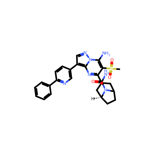 CS(=O)(=O)c1c(C2CC3CC[C@@H](C2)N3C(N)=O)nc2c(-c3ccc(-c4ccccc4)nc3)cnn2c1N